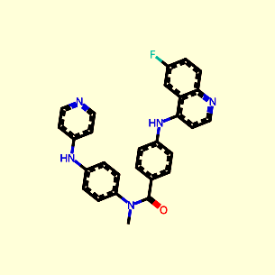 CN(C(=O)c1ccc(Nc2ccnc3ccc(F)cc23)cc1)c1ccc(Nc2ccncc2)cc1